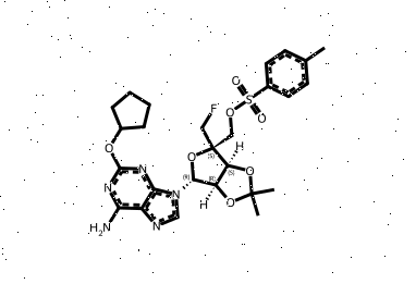 Cc1ccc(S(=O)(=O)OC[C@]2(CF)O[C@@H](n3cnc4c(N)nc(OC5CCCC5)nc43)[C@@H]3OC(C)(C)O[C@@H]32)cc1